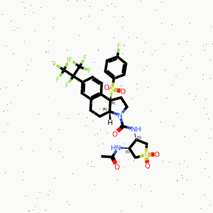 CC(=O)N[C@@H]1CS(=O)(=O)C[C@H]1NC(=O)N1CC[C@@]2(S(=O)(=O)c3ccc(F)cc3)c3ccc(C(F)(C(F)(F)F)C(F)(F)F)cc3CC[C@@H]12